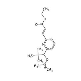 CCOC(=O)C=Cc1cccc(C(O[SiH](C)C)C(C)(C)C)n1